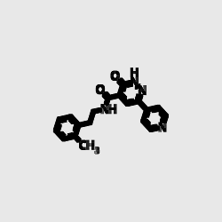 Cc1ccccc1CCNC(=O)c1cc(-c2ccncc2)n[nH]c1=O